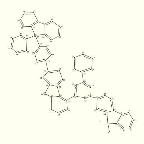 CC1(C)c2ccccc2-c2ccc(-c3nc(-c4ccccc4)nc(-c4cccc5oc6cc(-c7ccc([Si](c8ccccc8)(c8ccccc8)c8ccccc8)cc7)ccc6c45)n3)cc21